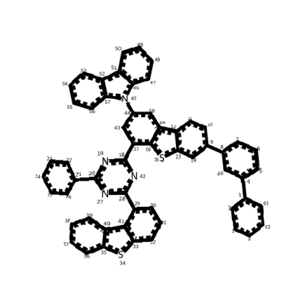 c1ccc(-c2cccc(-c3ccc4c(c3)sc3c(-c5nc(-c6ccccc6)nc(-c6cccc7sc8ccccc8c67)n5)cc(-n5c6ccccc6c6ccccc65)cc34)c2)cc1